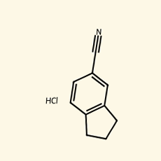 Cl.N#Cc1ccc2c(c1)CCC2